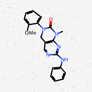 COc1ccccc1N1Cc2cnc(Nc3ccccc3)nc2N(C)C1=O